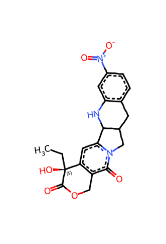 CC[C@@]1(O)C(=O)OCc2c1cc1n(c2=O)CC2Cc3ccc([N+](=O)[O-])cc3NC12